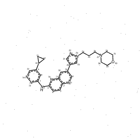 c1nc2ccc(Nc3cc(C4CC4)cnn3)nc2cc1-c1cnn(CCCN2CCOCC2)c1